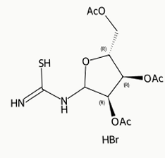 Br.CC(=O)OC[C@H]1OC(NC(=N)S)[C@H](OC(C)=O)[C@@H]1OC(C)=O